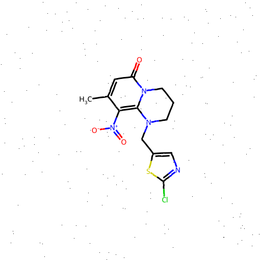 Cc1cc(=O)n2c(c1[N+](=O)[O-])N(Cc1cnc(Cl)s1)CCC2